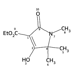 CCOC(=O)C1=C(O)C(C)(C)N(C)C1=O